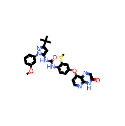 COc1cccc(-n2nc(C(C)(C)C)cc2NC(=O)Nc2ccc(Oc3ccnc4[nH]c(=O)cnc34)cc2SC)c1